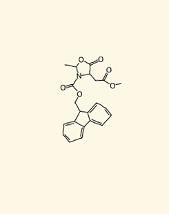 COC(=O)CC1C(=O)OC(C)N1C(=O)OCC1c2ccccc2-c2ccccc21